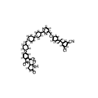 CC(C)(c1ccc(OCc2ccnc(C3CCN(C4CCN(CC5CCN(c6ccc7c(c6)C(=O)N(C6CCC(=O)NC6=O)C7=O)CC5)CC4)CC3)n2)cc1)c1cc(Cl)cc(C#N)c1